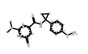 CN(C)c1nc(C(=O)NC2(c3ccc(SC(F)(F)F)cc3)CC2)cc(=O)[nH]1